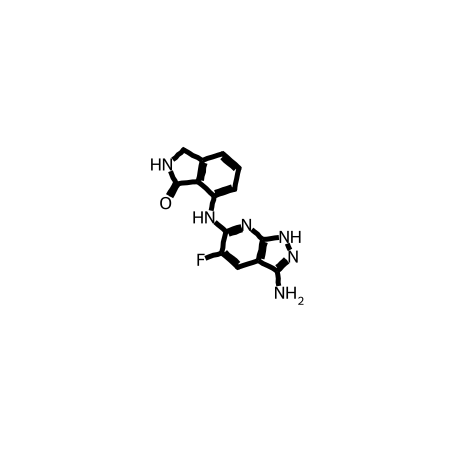 Nc1n[nH]c2nc(Nc3cccc4c3C(=O)NC4)c(F)cc12